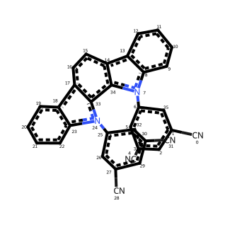 N#Cc1cc(C#N)cc(-n2c3ccccc3c3ccc4c5ccccc5n(-c5cc(C#N)cc(C#N)c5)c4c32)c1